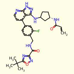 C=CC(=O)N[C@H]1CCC(Nc2n[nH]c3nccc(-c4ccc(CNC(=O)c5noc(C(C)(C)C)n5)c(F)c4)c23)C1